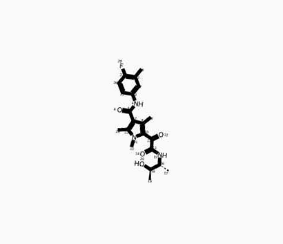 Cc1cc(NC(=O)c2c(C)c(C(=O)C(=O)N[C@H](C)[C@@H](C)O)n(C)c2C)ccc1F